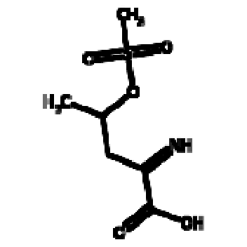 CC(CC(=N)C(=O)O)OS(C)(=O)=O